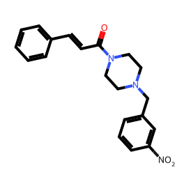 O=C(C=Cc1ccccc1)N1CCN(Cc2cccc([N+](=O)[O-])c2)CC1